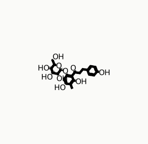 Cc1c(O)cc(O[C@@H]2OC(CO)[C@@H](O)[C@H](O)C2O)c(C(=O)CCc2ccc(O)cc2)c1O